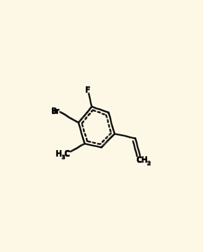 C=Cc1cc(C)c(Br)c(F)c1